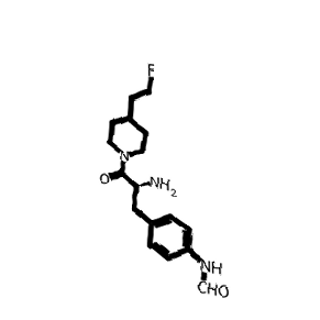 N[C@@H](Cc1ccc(NC=O)cc1)C(=O)N1CCC(CCF)CC1